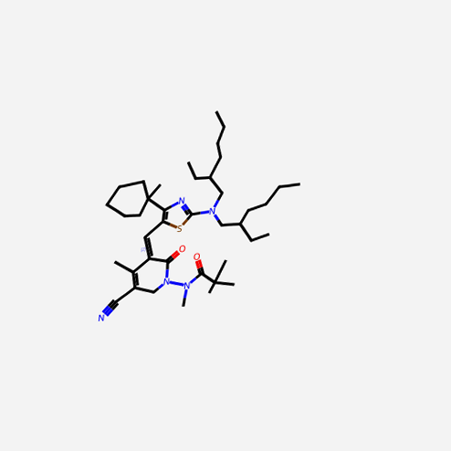 CCCCC(CC)CN(CC(CC)CCCC)c1nc(C2(C)CCCCC2)c(/C=C2\C(=O)N(N(C)C(=O)C(C)(C)C)CC(C#N)=C2C)s1